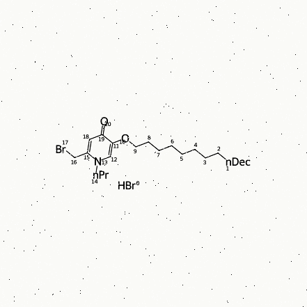 Br.CCCCCCCCCCCCCCCCCCOc1cn(CCC)c(CBr)cc1=O